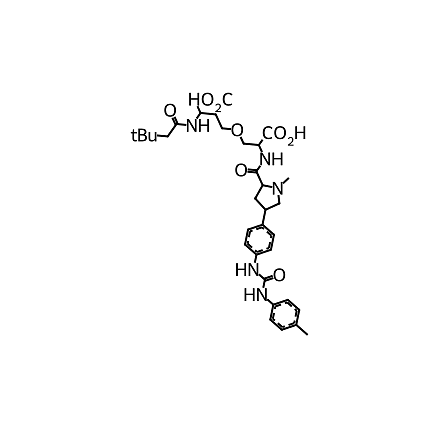 Cc1ccc(NC(=O)Nc2ccc(C3CC(C(=O)NC(COCCC(NC(=O)CC(C)(C)C)C(=O)O)C(=O)O)N(C)C3)cc2)cc1